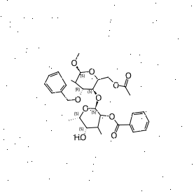 CO[C@H]1OC(COC(C)=O)[C@@H](O[C@@H]2O[C@@H](C)[C@@H](O)C(C)C2OC(=O)c2ccccc2)[C@H](OCc2ccccc2)C1C